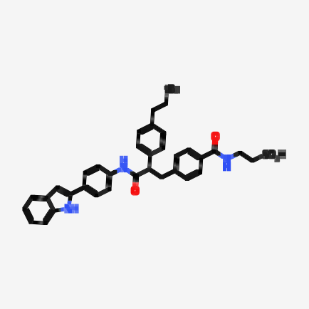 CC(C)(C)CCc1ccc(C(Cc2ccc(C(=O)NCCS(=O)(=O)O)cc2)C(=O)Nc2ccc(-c3cc4ccccc4[nH]3)cc2)cc1